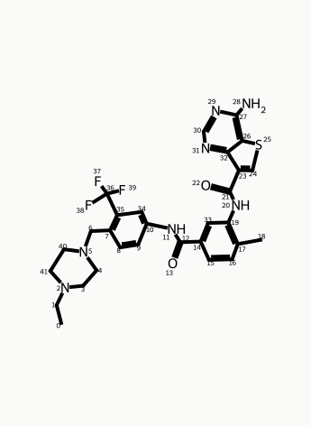 CCN1CCN(Cc2ccc(NC(=O)c3ccc(C)c(NC(=O)c4csc5c(N)ncnc45)c3)cc2C(F)(F)F)CC1